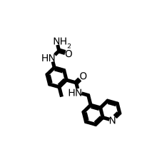 Cc1ccc(NC(N)=O)cc1C(=O)NCc1cccc2ncccc12